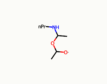 CCCNC(C)OC(C)[O]